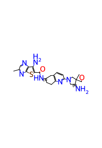 Cc1cnc2c(N)c(C(=O)N[C@H]3CCc4nc(N5C[C@H](N)C6(COC6)C5)ccc4C3)sc2n1